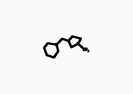 CN1CCC(CN2CCCCC2)C1